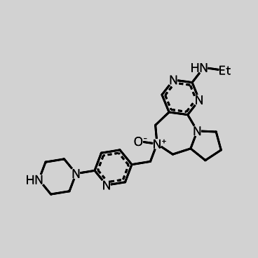 CCNc1ncc2c(n1)N1CCCC1C[N+]([O-])(Cc1ccc(N3CCNCC3)nc1)C2